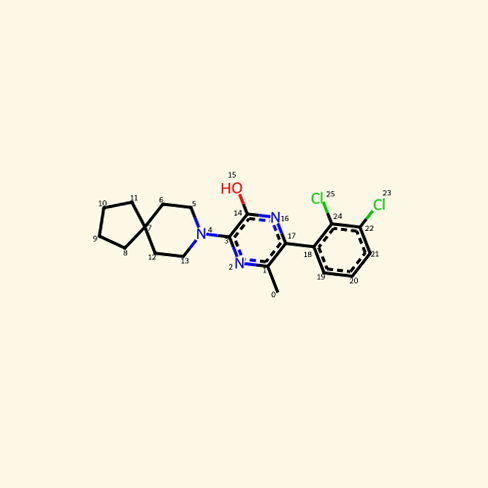 Cc1nc(N2CCC3(CCCC3)CC2)c(O)nc1-c1cccc(Cl)c1Cl